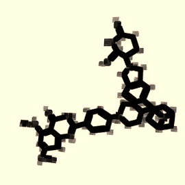 COc1cc(OC)c2c(=O)[nH]c(-c3ccc(N4CCC(CN5C6CC5CN(c5ccc7c(c5)CN(C5CCC(=O)NC5=O)C7)C6)CC4)cc3)nc2c1